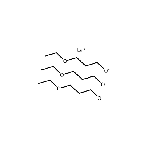 CCOCCC[O-].CCOCCC[O-].CCOCCC[O-].[La+3]